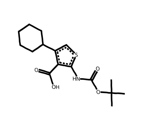 CC(C)(C)OC(=O)Nc1scc(C2CCCCC2)c1C(=O)O